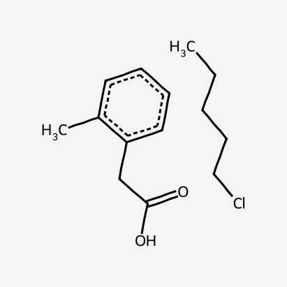 CCCCCCl.Cc1ccccc1CC(=O)O